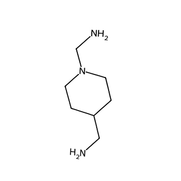 NCC1CCN(CN)CC1